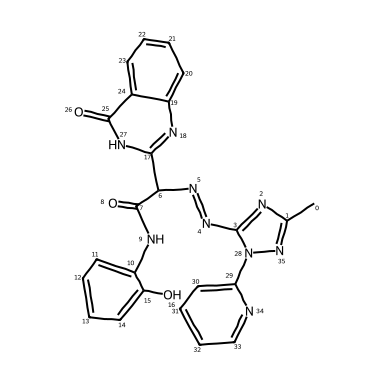 Cc1nc(N=NC(C(=O)Nc2ccccc2O)c2nc3ccccc3c(=O)[nH]2)n(-c2ccccn2)n1